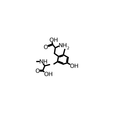 CNC(C)C(=O)O.Cc1cc(O)cc(C)c1CC(N)C(=O)O